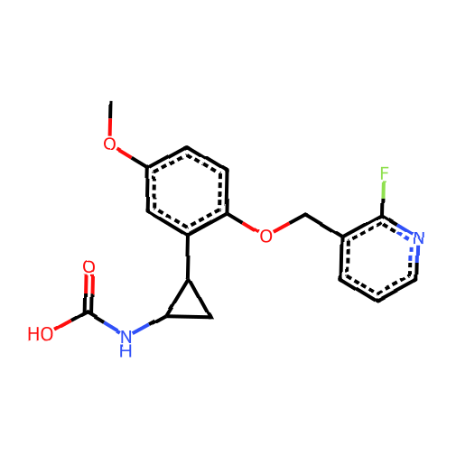 COc1ccc(OCc2cccnc2F)c(C2CC2NC(=O)O)c1